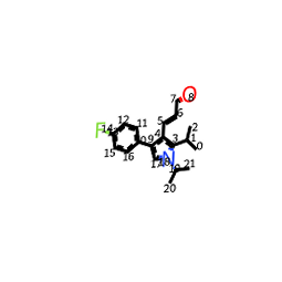 CC(C)c1c(C=CC=O)c(-c2ccc(F)cc2)cn1C(C)C